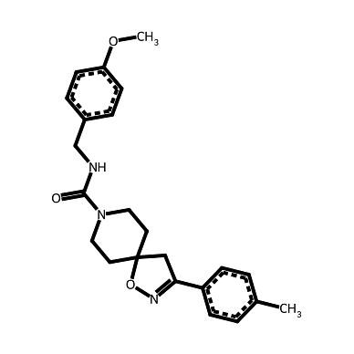 COc1ccc(CNC(=O)N2CCC3(CC2)CC(c2ccc(C)cc2)=NO3)cc1